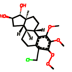 COOc1c(CCl)c2c(c(OC)c1OC)[C@H]1CC[C@]3(C)[C@@H](O)[C@H](O)C[C@H]3[C@@H]1CC2